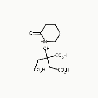 O=C(O)CC(O)(CC(=O)O)C(=O)O.O=C1CCCCN1